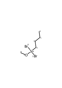 CCCC[Si](Br)(Br)OC